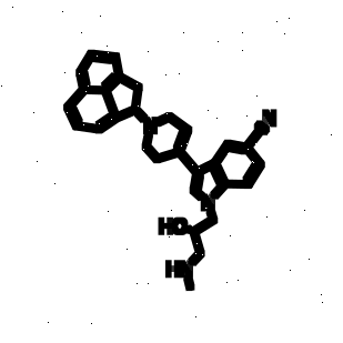 CNC[C@@H](O)Cn1cc(C2=CCN(C3Cc4cccc5cccc3c45)CC2)c2cc(C#N)ccc21